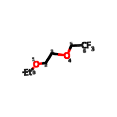 C[CH]OCCOCC(F)(F)F